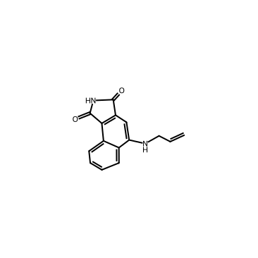 C=CCNc1cc2c(c3ccccc13)C(=O)NC2=O